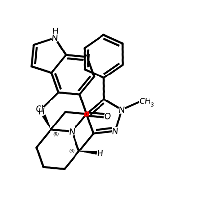 Cn1nc2c(c1-c1ccccc1)C[C@H]1CCC[C@@H]2N1C(=O)c1cnc2[nH]ccc2c1Cl